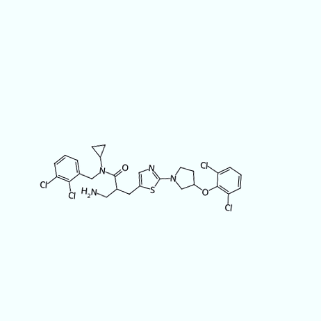 NCC(Cc1cnc(N2CCC(Oc3c(Cl)cccc3Cl)C2)s1)C(=O)N(Cc1cccc(Cl)c1Cl)C1CC1